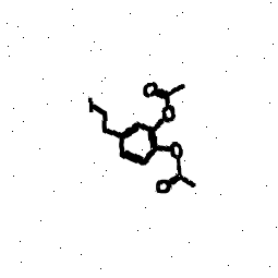 CC(=O)Oc1ccc(CCI)cc1OC(C)=O